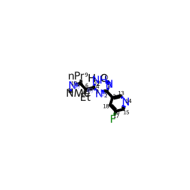 C=N\C(=N/C(N)=C(CC)/C(CCC)=N\NC)c1cncc(F)c1